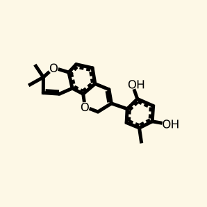 Cc1cc(C2=Cc3ccc4c(c3OC2)C=CC(C)(C)O4)c(O)cc1O